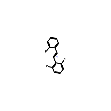 Fc1ccccc1/C=C/c1c(F)cccc1F